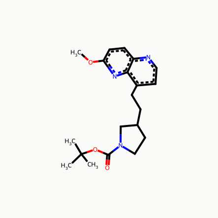 COc1ccc2nccc(CCC3CCN(C(=O)OC(C)(C)C)C3)c2n1